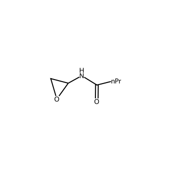 CCCC(=O)NC1CO1